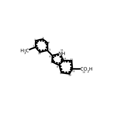 Cc1cccc(-c2cc3ccc(C(=O)O)cc3[nH]2)c1